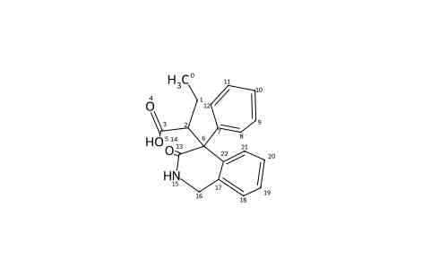 CCC(C(=O)O)C1(c2ccccc2)C(=O)NCc2ccccc21